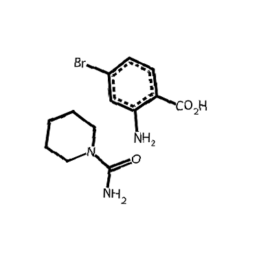 NC(=O)N1CCCCC1.Nc1cc(Br)ccc1C(=O)O